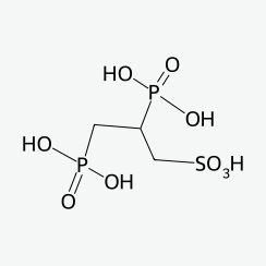 O=P(O)(O)CC(CS(=O)(=O)O)P(=O)(O)O